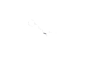 C/C(=C/CCOC1CCCCO1)CC=O